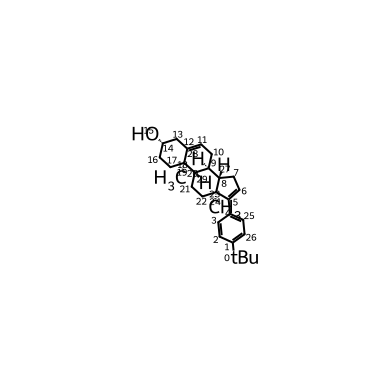 CC(C)(C)c1ccc(C2=CC[C@H]3[C@@H]4CC=C5C[C@@H](O)CC[C@]5(C)[C@H]4CC[C@]23C)cc1